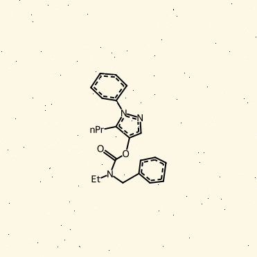 CCCc1c(OC(=O)N(CC)Cc2ccccc2)cnn1-c1ccccc1